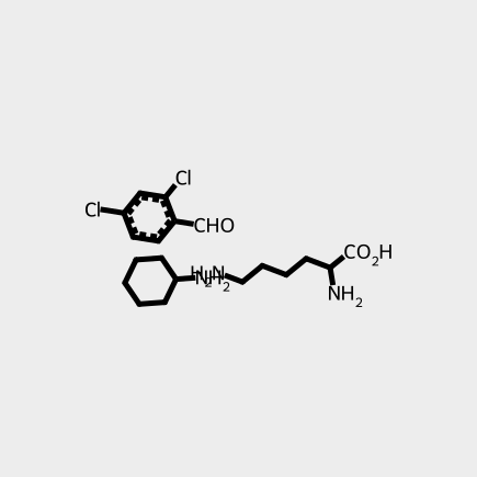 NC1CCCCC1.NCCCCC(N)C(=O)O.O=Cc1ccc(Cl)cc1Cl